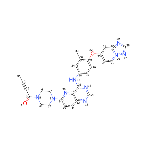 CC#CC(=O)N1CCN(c2ccc3ncnc(Nc4ccc(Oc5ccn6ncnc6c5)c(C)c4)c3n2)CC1